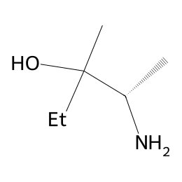 CCC(C)(O)[C@H](C)N